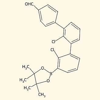 CC1(C)OB(c2cccc(-c3cccc(-c4ccc(C=O)cc4)c3Cl)c2Cl)OC1(C)C